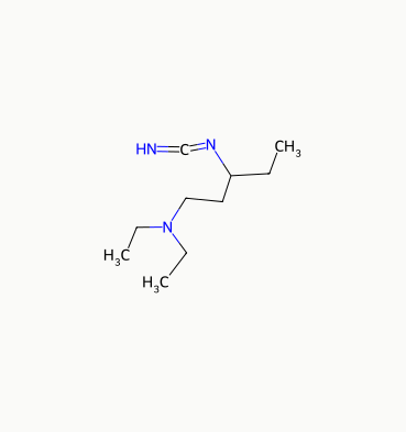 CCC(CCN(CC)CC)N=C=N